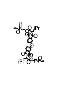 C=CC(=O)NCCOC(=O)C(CC(C)C)N1C(=O)c2ccc(Oc3ccc4c(c3)C(=O)N(C(CC(C)C)C(=O)OCCNC(=O)C=C)C4=O)cc2C1=O